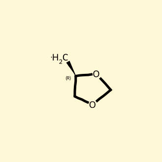 [CH2][C@@H]1COCO1